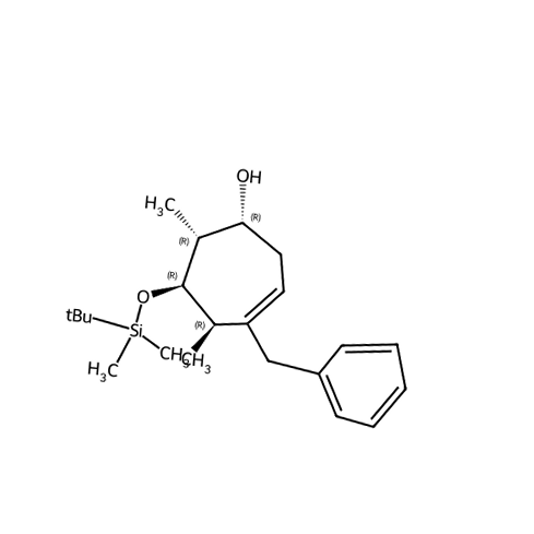 C[C@H]1[C@H](O[Si](C)(C)C(C)(C)C)[C@H](C)C(Cc2ccccc2)=CC[C@H]1O